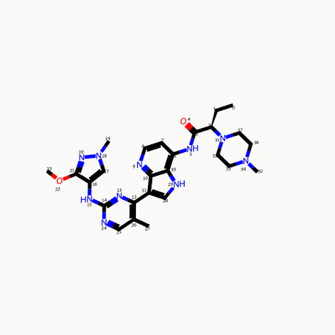 CC[C@H](C(=O)Nc1ccnc2c(-c3nc(Nc4cn(C)nc4OC)ncc3C)c[nH]c12)N1CCN(C)CC1